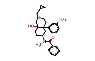 COc1cccc(C23CCN(CC4CC4)CC2(O)CC[C@H](N(C)C(=O)c2ccccc2)C3)c1